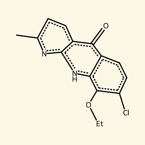 CCOc1c(Cl)ccc2c(=O)c3ccc(C)nc3[nH]c12